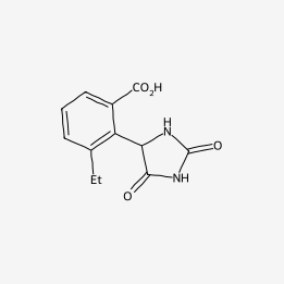 CCc1cccc(C(=O)O)c1C1NC(=O)NC1=O